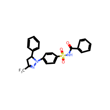 O=C(NS(=O)(=O)c1ccc(N2N=C(C(F)(F)F)CC2c2ccccc2)cc1)c1ccccc1